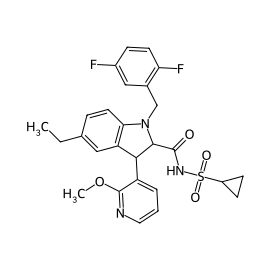 CCc1ccc2c(c1)C(c1cccnc1OC)C(C(=O)NS(=O)(=O)C1CC1)N2Cc1cc(F)ccc1F